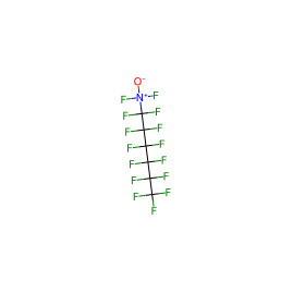 [O-][N+](F)(F)C(F)(F)C(F)(F)C(F)(F)C(F)(F)C(F)(F)C(F)(F)F